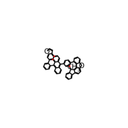 CC12c3ccccc3-c3ccc4oc5cccc(c5c4c31)-c1ccc(-c3c4ccccc4c(-c4ccccc4-c4ccc5ccoc5c4)c4ccccc34)cc12